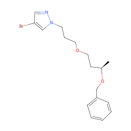 C[C@H](CCOCCCn1cc(Br)cn1)OCc1ccccc1